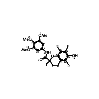 COc1cc(NC(=O)C2(C)CCc3c(C)c(O)c(C)c(C)c3O2)cc(OC)c1OC